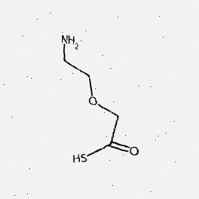 NCCOCC(=O)S